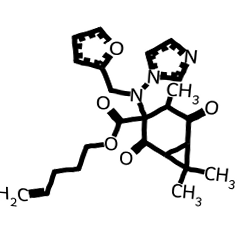 C=CCCCOC(=O)C1(N(Cc2ccco2)n2ccnc2)C(=O)C2C(C(=O)C1C)C2(C)C